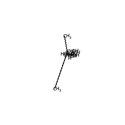 CC#CC#CC#CC#CC#CC#CC#CC#CC#CC#CC#CC#CC(=O)N[C@@H](CN[C@@H]1C[C@H](O)[C@@H](O)[C@H](O)[C@H]1O)[C@H](O)[C@H](O)CCCCCCCCCCCCCC